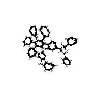 c1ccc(C2=NC(c3ccc4c5c(-c6ccccc6)c(-c6ccccc6)c(-c6ccccc6)c(-c6ccccc6)c5n(-c5ccc6sc7ccccc7c6c5)c4c3)=NC(c3ccccc3)N2)cc1